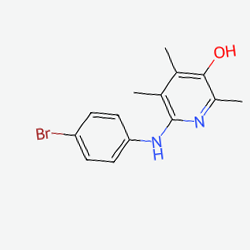 Cc1nc(Nc2ccc(Br)cc2)c(C)c(C)c1O